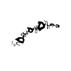 Cc1cc(NNc2ccc(NNc3ccc(N4CCCC4)s3)cc2C)ccc1/N=N/c1nc(-c2ccc(C(F)(F)F)cc2)ns1